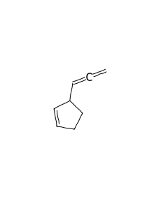 C=C=CC1C=CCC1